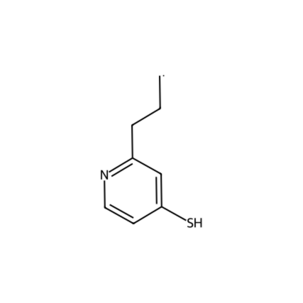 [CH2]CCc1cc(S)ccn1